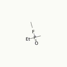 CC.CCP(C)(=O)F